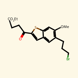 CCOC(=O)CCC(=O)c1cc2cc(CCCBr)c(OC)cc2s1